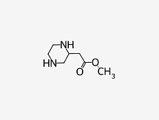 COC(=O)CC1CNCCN1